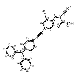 N#CC(=Cc1ccc(C#Cc2ccc(N(c3ccccc3)c3ccccc3)cc2)cc1F)C(=O)O